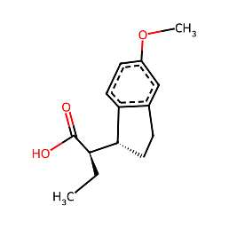 CC[C@@H](C(=O)O)[C@H]1CCc2cc(OC)ccc21